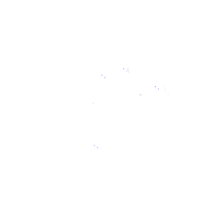 NC(=O)c1[nH]cnc1OC(=O)c1cccnc1Cl